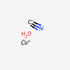 O.[C-]#N.[Cu+]